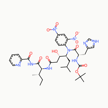 CC[C@H](C)[C@H](NC(=O)C[C@H](O)[C@H](CC(C)C)N(C(=O)[C@H](Cc1c[nH]cn1)NC(=O)OC(C)(C)C)c1ccc([N+](=O)[O-])cc1[N+](=O)[O-])C(=O)NC(=O)c1ccccn1